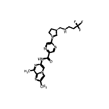 Cc1cn2cc(NC(=O)c3cnc(N4CC[C@@H](CNCCC(F)(F)F)C4)cn3)nc(C)c2n1